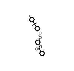 Cc1ccc(C(C)(C)c2ccc(OCOc3cccc(OC(=O)c4ccccc4)c3)cc2)cc1